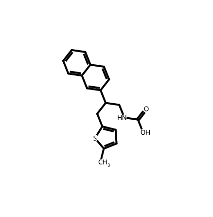 Cc1ccc(CC(CNC(=O)O)c2ccc3ccccc3c2)s1